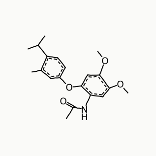 COc1cc(NC(C)=O)c(Oc2ccc(C(C)C)c(C)c2)cc1OC